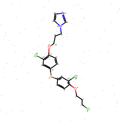 ClCCCOc1ccc(Sc2ccc(OCCCn3ccnc3)c(Cl)c2)cc1Cl